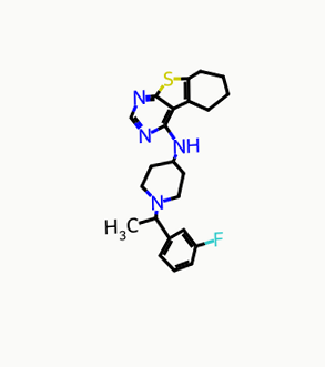 CC(c1cccc(F)c1)N1CCC(Nc2ncnc3sc4c(c23)CCCC4)CC1